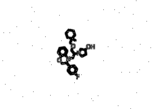 CC1(COCC(CN2c3ccccc3OCC2c2ccc(F)cc2)N2CCC(O)C2)CCCCC1